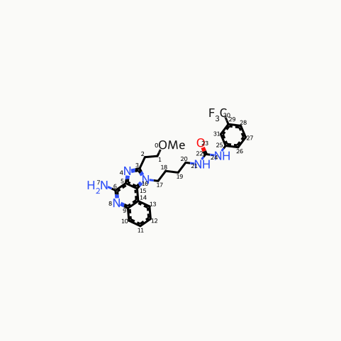 COCCc1nc2c(N)nc3ccccc3c2n1CCCCNC(=O)Nc1cccc(C(F)(F)F)c1